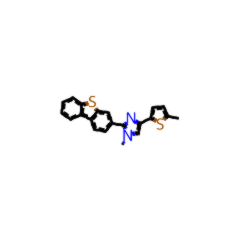 Cc1ccc(-c2cn(C)c(-c3ccc4c(c3)sc3ccccc34)n2)s1